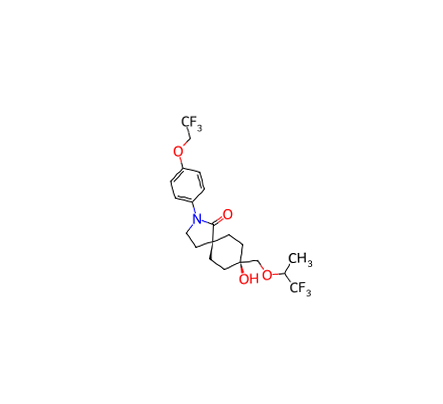 CC(OC[C@]1(O)CC[C@]2(CCN(c3ccc(OCC(F)(F)F)cc3)C2=O)CC1)C(F)(F)F